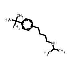 CC(C)NCCCCc1ccc(C(C)(C)C)cc1